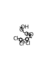 C=C(C(=O)N1CCC(CCOC(C)O)CC1)c1ccc(Sc2ccc(Cl)cc2Cl)c(Cl)c1